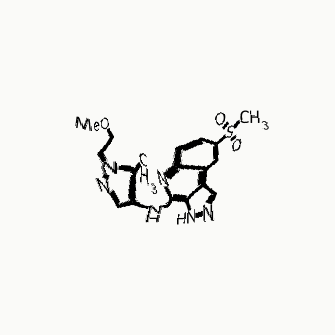 COCCn1ncc(Nc2nc3ccc(S(C)(=O)=O)cc3c3cn[nH]c23)c1C